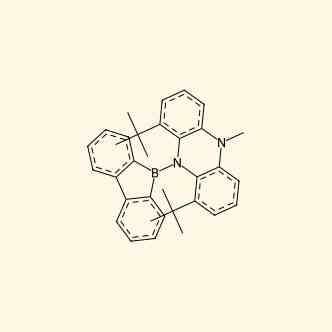 CN1c2cccc(C(C)(C)C)c2N(B2c3ccccc3-c3ccccc32)c2c1cccc2C(C)(C)C